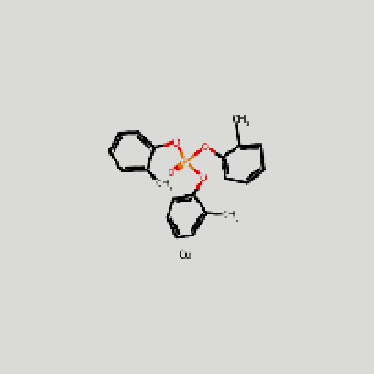 Cc1ccccc1OP(=O)(Oc1ccccc1C)Oc1ccccc1C.[Cu]